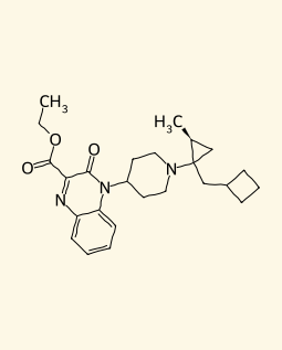 CCOC(=O)c1nc2ccccc2n(C2CCN(C3(CC4CCC4)C[C@@H]3C)CC2)c1=O